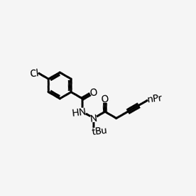 CCCC#CCC(=O)N(NC(=O)c1ccc(Cl)cc1)C(C)(C)C